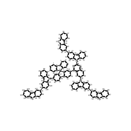 c1ccc2c(c1)-c1ccccc1C21c2cc(-c3nc(-n4c5ccccc5c5cc(-c6ccc7sc8ccccc8c7c6)ccc54)nc4ccc(-n5c6ccccc6c6cc(-c7ccc8sc9ccccc9c8c7)ccc65)cc34)ccc2-c2ccc(-n3c4ccccc4c4cc(-c5ccc6sc7ccccc7c6c5)ccc43)cc21